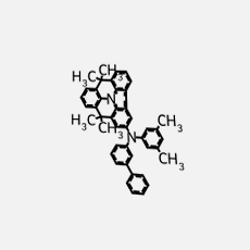 Cc1cc(C)cc(N(c2cccc(-c3ccccc3)c2)c2cc3c4c(c2)c2cccc5c2n4-c2c(cccc2C3(C)C)C5(C)C)c1